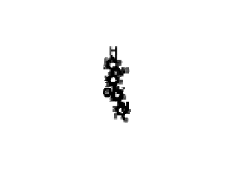 Cc1ccc(-c2ccn(-c3ccc4c5c(n(C)c4c3)CNCC5)c(=O)c2)nc1